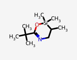 CC1CN=C(C(C)(C)C)O[Si]1(C)C